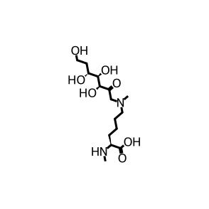 CN[C@@H](CCCCN(C)CC(=O)[C@@H](O)[C@H](O)[C@H](O)CCO)C(=O)O